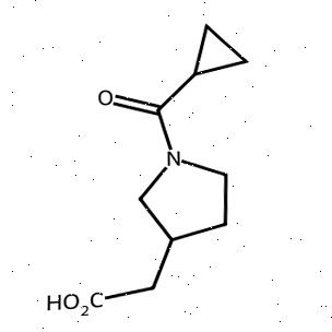 O=C(O)CC1CCN(C(=O)C2CC2)C1